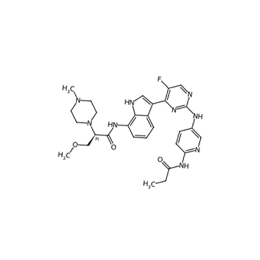 CCC(=O)Nc1ccc(Nc2ncc(F)c(-c3c[nH]c4c(NC(=O)[C@@H](COC)N5CCN(C)CC5)cccc34)n2)cn1